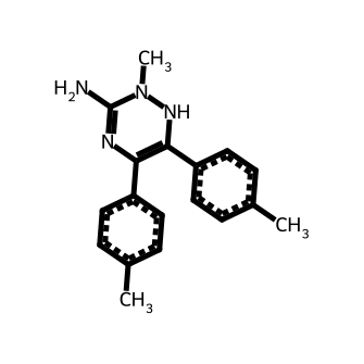 Cc1ccc(C2=C(c3ccc(C)cc3)NN(C)C(N)=N2)cc1